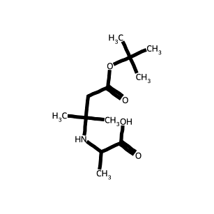 CC(NC(C)(C)CC(=O)OC(C)(C)C)C(=O)O